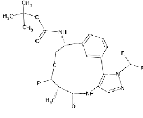 C[C@H]1C(=O)Nc2cnn(C(F)F)c2-c2cccc(c2)[C@@H](NC(=O)OC(C)(C)C)CCC1F